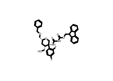 O=C(NC(=S)N[C@@]1(c2ccc(F)cc2F)CO[C@@H](COCc2ccccc2)C[C@H]1CO)OCC1c2ccccc2-c2ccccc21